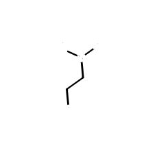 CC(=O)CCN(O)C(C)=O